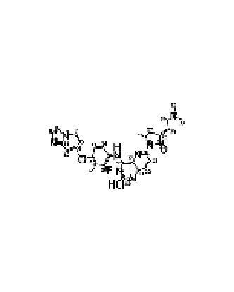 Cc1c(Oc2ccn3ncnc3c2)ccc(Nc2ncnc3ccc(N4CC/C(=C\CN(C)C)C4=O)nc23)c1F.Cl